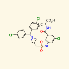 CC(NC(=O)c1cc(Cl)cc(NS(=O)(=O)CC2CN(C(c3ccc(Cl)cc3)c3ccc(Cl)cc3)C2)c1)C(=O)O